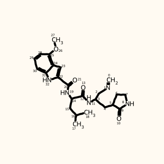 C=NCC(CC1CCNC1=O)NC(=O)C(CC(C)C)NC(=O)c1cc2c(OC)cccc2[nH]1